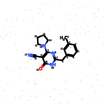 Cc1cccc(Cc2nc(N3CCCC3)c(C#N)c(=O)[nH]2)c1